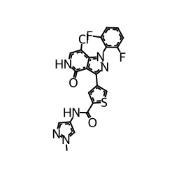 Cn1cc(NC(=O)c2cc(-c3nn(-c4c(F)cccc4F)c4c(Cl)c[nH]c(=O)c34)cs2)cn1